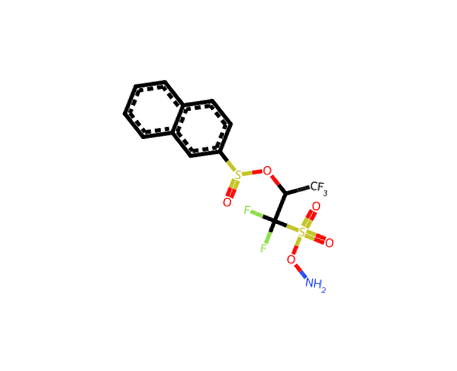 NOS(=O)(=O)C(F)(F)C(OS(=O)c1ccc2ccccc2c1)C(F)(F)F